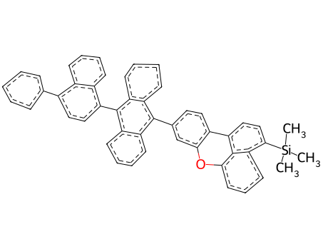 C[Si](C)(C)c1ccc2c3c(cccc13)Oc1cc(-c3c4ccccc4c(-c4ccc(-c5ccccc5)c5ccccc45)c4ccccc34)ccc1-2